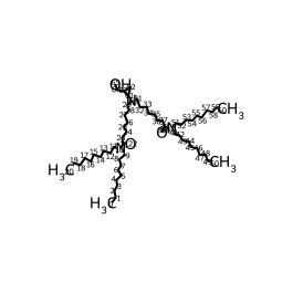 CCCCCCCCCCN(CCCCCCCCCC)C(=O)CCCCCCCN(CCCCCCCC(=O)N(CCCCCCCCCC)CCCCCCCCCC)C1CC1CO